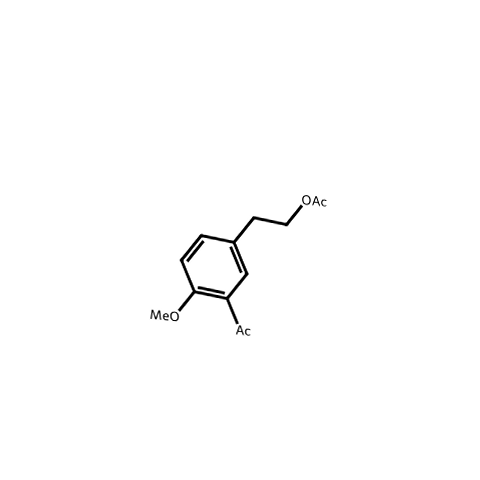 COc1ccc(CCOC(C)=O)cc1C(C)=O